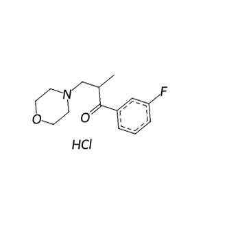 CC(CN1CCOCC1)C(=O)c1cccc(F)c1.Cl